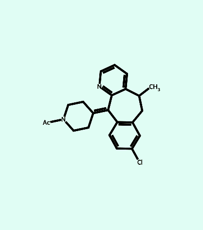 CC(=O)N1CCC(=C2c3ccc(Cl)cc3CC(C)c3cccnc32)CC1